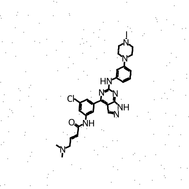 CN(C)C/C=C/C(=O)Nc1cc(Cl)cc(-c2nc(Nc3cccc(N4CCN(I)CC4)c3)nc3[nH]ncc23)c1